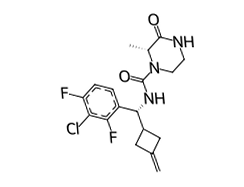 C=C1CC([C@@H](NC(=O)N2CCNC(=O)[C@H]2C)c2ccc(F)c(Cl)c2F)C1